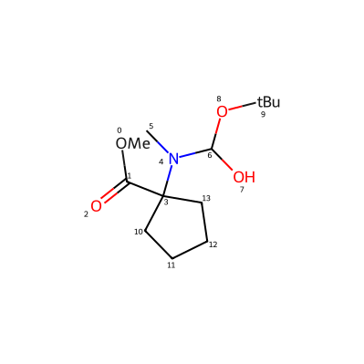 COC(=O)C1(N(C)C(O)OC(C)(C)C)CCCC1